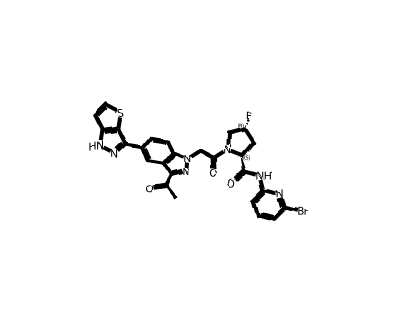 CC(=O)c1nn(CC(=O)N2C[C@H](F)C[C@H]2C(=O)Nc2cccc(Br)n2)c2ccc(-c3n[nH]c4ccsc34)cc12